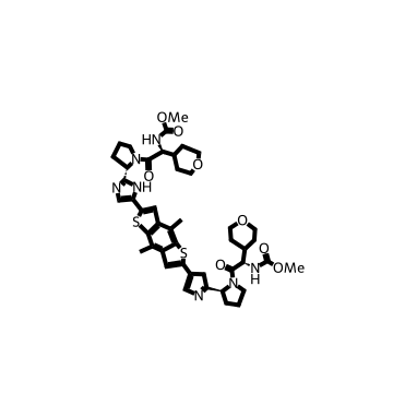 COC(=O)N[C@H](C(=O)N1CCC[C@H]1C1=NC=C(c2cc3c(C)c4sc(-c5cnc([C@@H]6CCCN6C(=O)[C@@H](NC(=O)OC)C6CCOCC6)[nH]5)cc4c(C)c3s2)C1)C1CCOCC1